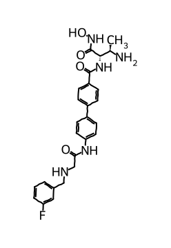 C[C@@H](N)[C@H](NC(=O)c1ccc(-c2ccc(NC(=O)CNCc3cccc(F)c3)cc2)cc1)C(=O)NO